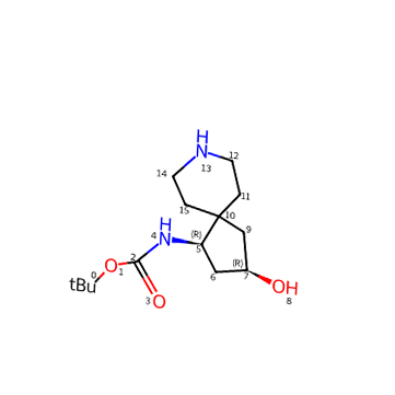 CC(C)(C)OC(=O)N[C@@H]1C[C@H](O)CC12CCNCC2